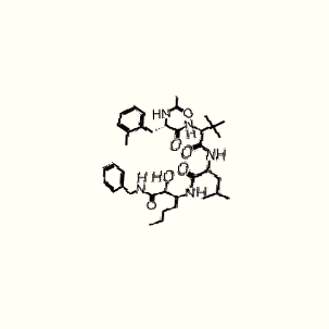 CCCCC(NC(=O)[C@H](CC(C)C)NC(=O)[C@@H](NC(=O)[C@H](Cc1ccccc1C)NC(C)=O)C(C)(C)C)[C@H](O)C(=O)NCc1ccccc1